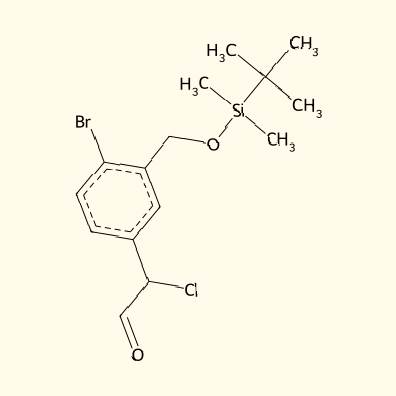 CC(C)(C)[Si](C)(C)OCc1cc(C(Cl)C=O)ccc1Br